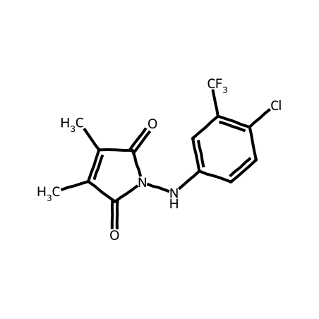 CC1=C(C)C(=O)N(Nc2ccc(Cl)c(C(F)(F)F)c2)C1=O